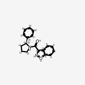 O=C(c1noc2ccccc12)N1CCC[C@H]1c1ccccc1